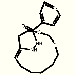 O=C(NN/C1=C\CCCCCCCCCC1)c1ccncc1